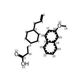 C=CCC1CCCCC1.CCC(=O)O.COc1ccc2ccccc2c1